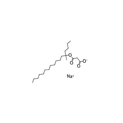 CCCCCCCCCCCCC(C)(CCCC)OC(=O)CC(=O)[O-].[Na+]